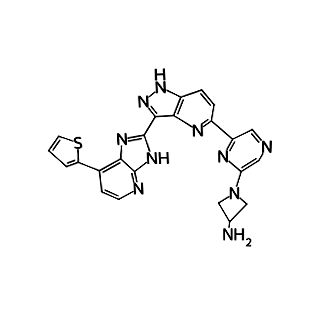 NC1CN(c2cncc(-c3ccc4[nH]nc(-c5nc6c(-c7cccs7)ccnc6[nH]5)c4n3)n2)C1